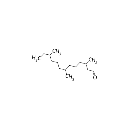 CCC(C)CCCC(C)CCCC(C)CC=O